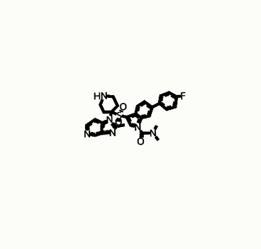 Cc1nc2cnccc2n1C1(S(=O)(=O)c2cn(C(=O)N(C)C)c3cc(-c4ccc(F)cc4)ccc23)CCNCC1